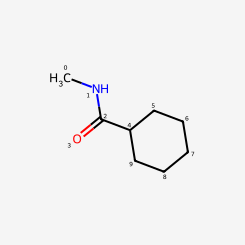 CNC(=O)C1CCCCC1